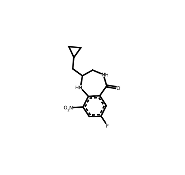 O=C1NCC(CC2CC2)Nc2c1cc(F)cc2[N+](=O)[O-]